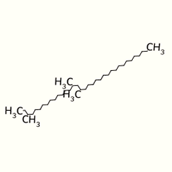 CCCCCCCCCCCCCCCCCCC(C)CC(C)CCCCCCCCCCCC(C)CC